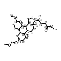 CC[C@@H]1C2C[C@H](OCOC)CCC2(C)C2CCC3(C)C(CC[C@@H]3[C@H](C)CCC(=O)OC)C2[C@@H]1OCOC